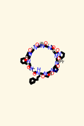 CCC(C)[C@@H]1NC(=O)[C@H](C)N(C)C(=O)C[C@@H](C(=O)N2CCCCC2)N(C)C(=O)[C@H](C(C)C)N(C)C(=O)C2(CCCC2)NC(=O)[C@@H]2CCCN2C(=O)[C@H](CCCc2ccccc2)NC(=O)CN(C)C(=O)[C@H](CC2CCCCC2)N(C)C(=O)[C@@H]2CCN2C(=O)[C@H](C)N(C)C1=O